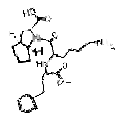 NCCCCC(NC(CCc1ccccc1)C(=O)O)C(=O)N1[C@H](C(=O)O)C[C@@H]2CCC[C@@H]21